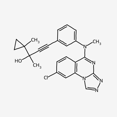 CN(c1cccc(C#CC(C)(O)C2(C)CC2)c1)c1nc2nncn2c2cc(Cl)ccc12